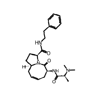 C[C@@H](C(=O)N[C@H]1C/C=C\C[C@H]2CC[C@@H](C(=O)NCCc3ccccc3)N2C1=O)N(C)C